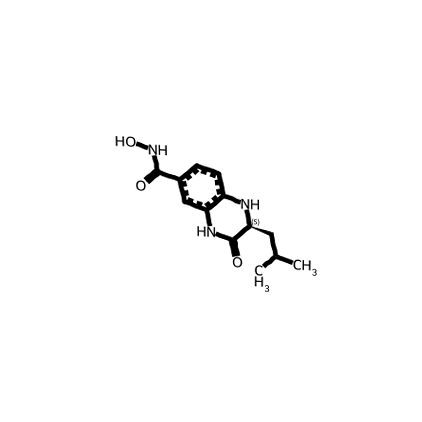 CC(C)C[C@@H]1Nc2ccc(C(=O)NO)cc2NC1=O